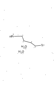 CCCCCC[CH2][Ti].O.O